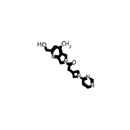 Cc1cc(CO)nc2c1CN(C(=O)CC1CN(c3ccncn3)C1)C2